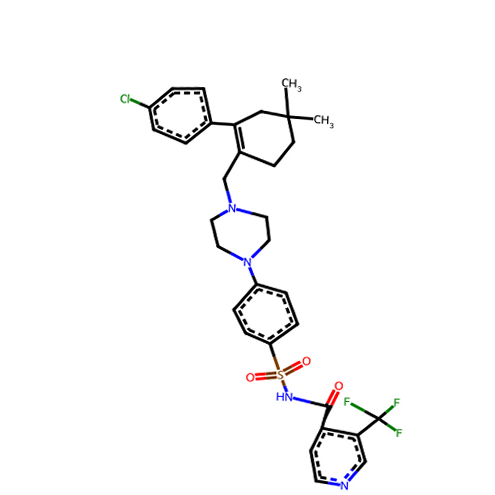 CC1(C)CCC(CN2CCN(c3ccc(S(=O)(=O)NC(=O)c4ccncc4C(F)(F)F)cc3)CC2)=C(c2ccc(Cl)cc2)C1